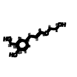 OCCOCCCc1ccc(O)c(CO)c1